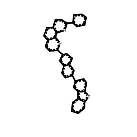 c1ccc(-c2ccc3ccc4ccc(-c5ccc6cc(-c7ccc8oc9ccccc9c8c7)ccc6c5)nc4c3n2)cc1